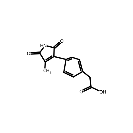 CC1=C(c2ccc(CC(=O)O)cc2)C(=O)NC1=O